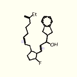 C=C(CC)CCC/C=C\CC1CCC(F)C1/C=C/C(O)C1Cc2ccccc2C1